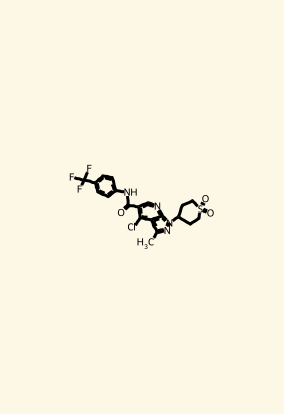 Cc1nn(C2CCS(=O)(=O)CC2)c2ncc(C(=O)Nc3ccc(C(F)(F)F)cc3)c(Cl)c12